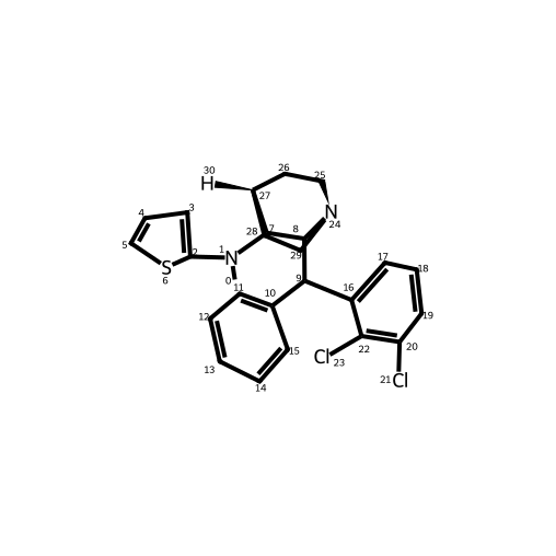 CN(c1cccs1)C1C(C(c2ccccc2)c2cccc(Cl)c2Cl)[N@]2CC[C@H]1CC2